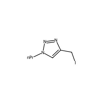 CCCn1cc(CI)nn1